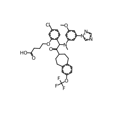 COc1cc(N(C)C(C(=O)C2CCc3ccc(OC(F)(F)F)cc3CC2)c2ccc(Cl)cc2OCCCC(=O)O)cc(-n2cncn2)c1